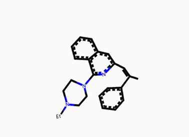 CCN1CCN(c2nc(C=C(C)c3ccccc3)cc3ccccc23)CC1